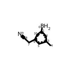 Bc1cc(C)cc(CC#N)c1